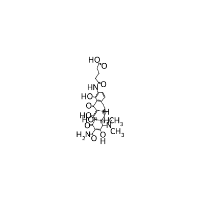 CN(C)C1C(O)=C(C(N)=O)C(=O)[C@@]2(O)C(O)=C3C(=O)c4c(ccc(NC(=O)CCCC(=O)O)c4O)C[C@H]3C[C@@H]12